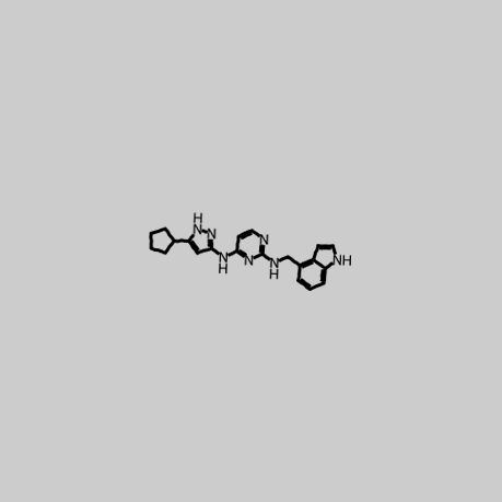 c1cc(CNc2nccc(Nc3cc(C4CCCC4)[nH]n3)n2)c2cc[nH]c2c1